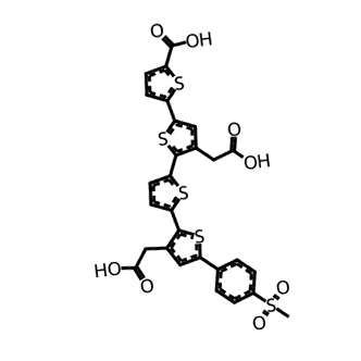 CS(=O)(=O)c1ccc(-c2cc(CC(=O)O)c(-c3ccc(-c4sc(-c5ccc(C(=O)O)s5)cc4CC(=O)O)s3)s2)cc1